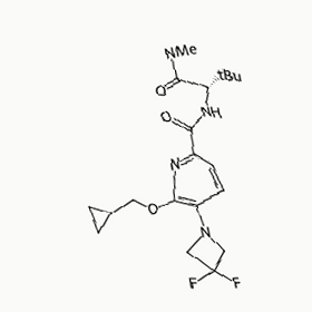 CNC(=O)[C@@H](NC(=O)c1ccc(N2CC(F)(F)C2)c(OCC2CC2)n1)C(C)(C)C